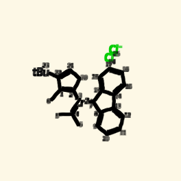 CC1=[C]([Zr+2](=[C](C)C)[CH]2c3ccccc3-c3ccccc32)CC=C1C(C)(C)C.[Cl-].[Cl-]